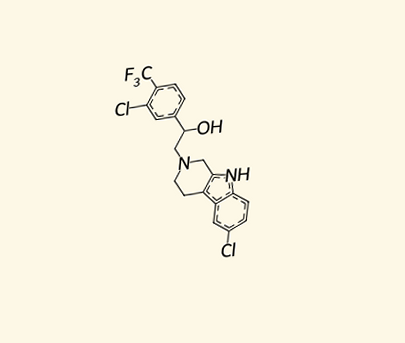 OC(CN1CCc2c([nH]c3ccc(Cl)cc23)C1)c1ccc(C(F)(F)F)c(Cl)c1